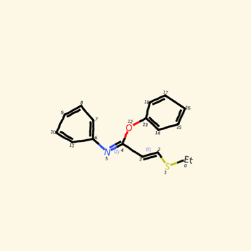 CCS/C=C/C(=N/c1ccccc1)Oc1ccccc1